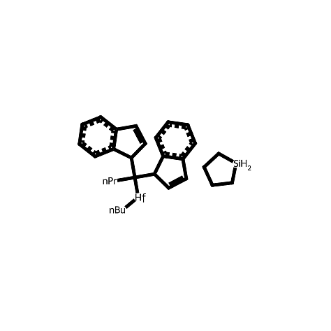 C1CC[SiH2]C1.CCC[CH2][Hf][C](CCC)(C1C=Cc2ccccc21)C1C=Cc2ccccc21